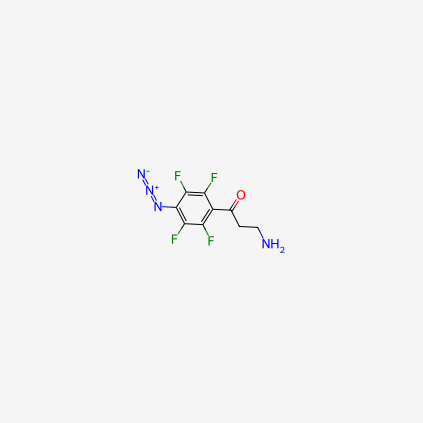 [N-]=[N+]=Nc1c(F)c(F)c(C(=O)CCN)c(F)c1F